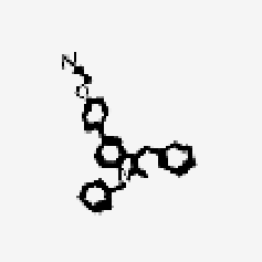 Cc1c(Cc2ccccc2)c2cc(-c3ccc(OCC#N)cc3)ccc2n1Cc1ccccc1